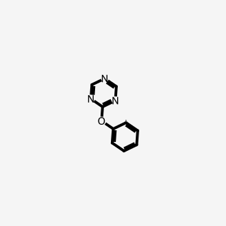 [c]1ccccc1Oc1ncncn1